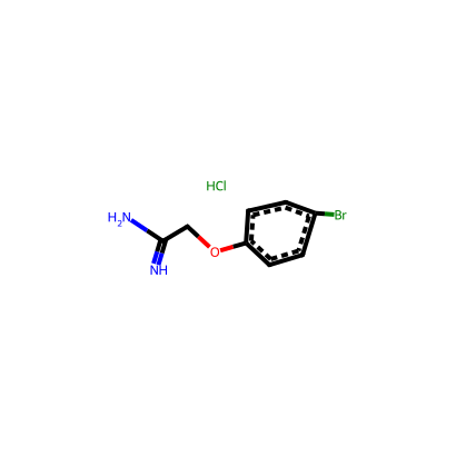 Cl.N=C(N)COc1ccc(Br)cc1